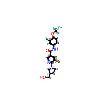 O=C(Nc1ccc(OC(F)(F)F)c(F)c1)c1cnc(N2CCC(CO)C2)c(Br)c1